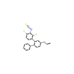 C=CCc1ccc(-c2ccccc2)c(-c2ccc(F)c(N=C=S)c2F)c1